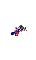 CC(C)CN1c2ccc(C(=O)NC[C@H](O)[C@H](Cc3ccccc3)NC(=O)O)cc2OC1C(C)C